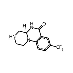 O=C1N[C@@H]2CNCCN2c2ccc(C(F)(F)F)cc21